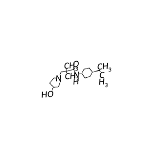 CC(C)[C@H]1CC[C@H](NC(=O)C(C)(C)CN2CCC(O)CC2)CC1